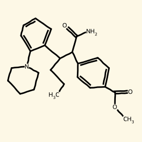 CCCC(c1ccccc1N1CCCCC1)C(C(N)=O)c1ccc(C(=O)OC)cc1